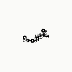 CC(C)Cc1cc(NC(=O)Nc2cnc(Oc3ccc(-c4cnc(N5CCCCC5=O)s4)cc3)nc2)n(-c2ccccc2F)n1